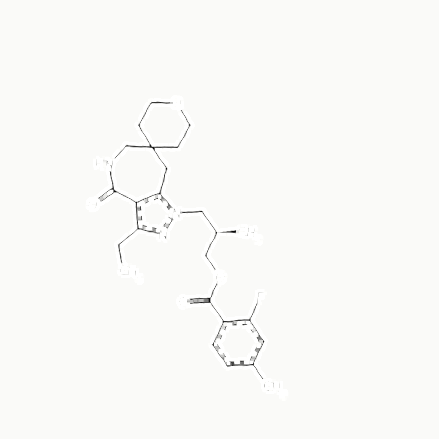 CCc1nn(C[C@@H](C)COC(=O)c2ccc(C)cc2F)c2c1C(=O)NCC1(CCOCC1)C2